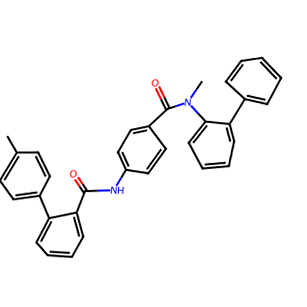 Cc1ccc(-c2ccccc2C(=O)Nc2ccc(C(=O)N(C)c3ccccc3-c3ccccc3)cc2)cc1